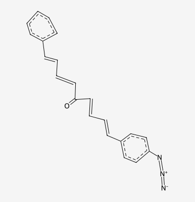 [N-]=[N+]=Nc1ccc(/C=C/C=CC(=O)C=C/C=C/c2ccccc2)cc1